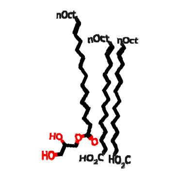 CCCCCCCCC=CCCCCCCCCCCCC(=O)O.CCCCCCCCC=CCCCCCCCCCCCC(=O)O.CCCCCCCCC=CCCCCCCCCCCCC(=O)OCC(O)CO